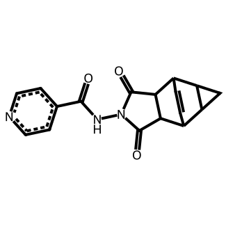 O=C(NN1C(=O)C2C3C=CC(C4CC34)C2C1=O)c1ccncc1